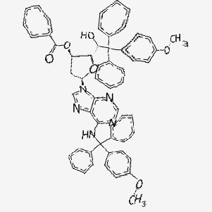 COc1ccc(C(Nc2ncnc3c2ncn3[C@H]2C[C@@H](OC(=O)c3ccccc3)[C@H](C(O)C(c3ccccc3)(c3ccccc3)c3ccc(OC)cc3)O2)(c2ccccc2)c2ccccc2)cc1